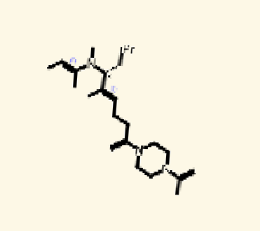 C=C(C)N1CCN(C(=C)CC/C=C(\C)[C@@H](CC(C)C)N(C)/C(C)=C/C)CC1